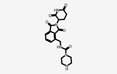 O=C1CCC(N2C(=O)c3cccc(CNC(=O)N4CCNCC4)c3C2=O)C(=O)N1